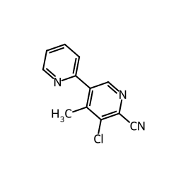 Cc1c(-c2ccccn2)cnc(C#N)c1Cl